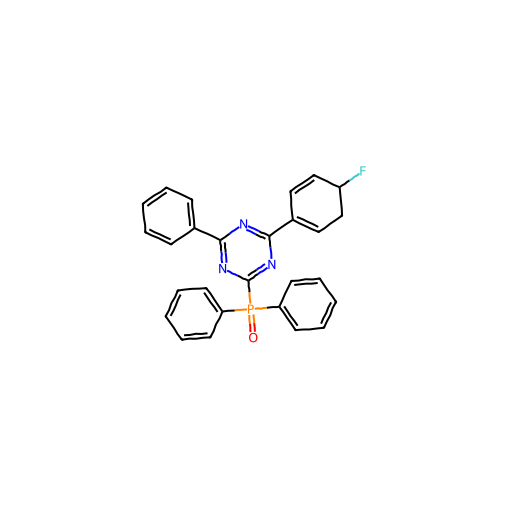 O=P(c1ccccc1)(c1ccccc1)c1nc(C2=CCC(F)C=C2)nc(-c2ccccc2)n1